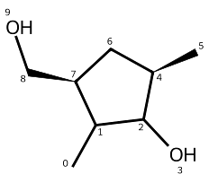 CC1C(O)[C@H](C)C[C@@H]1CO